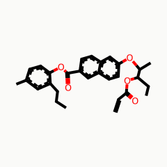 C=CC(=O)OC(CC)C(C)Oc1ccc2cc(C(=O)Oc3ccc(C)cc3CCC)ccc2c1